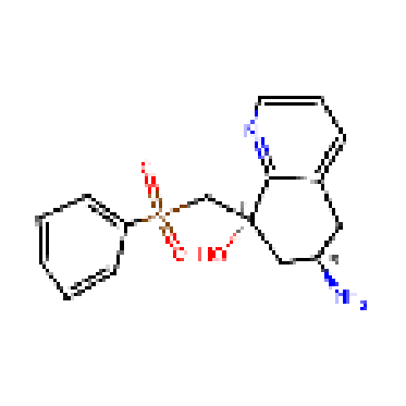 N[C@@H]1Cc2cccnc2[C@](O)(CS(=O)(=O)c2ccccc2)C1